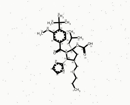 CCCOC[C@@H]1C[C@](CC(C)C)(OC(=O)O)N(C(=O)c2ccc(C(C)(C)C)c(OC)c2)[C@H]1c1nccs1